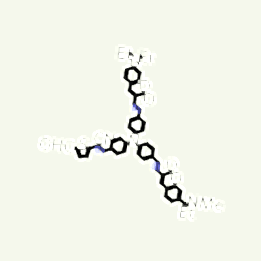 CCC(NC)c1ccc2cc(/C=C/c3ccc(N(c4ccc(/C=C/c5cc6ccc(N(CC)CC)cc6oc5=O)cc4)c4ccc(/C=C(\C#N)c5ccc(C=O)s5)cc4)cc3)c(=O)oc2c1